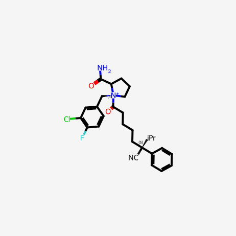 CC(C)[C@@](C#N)(CCCCC(=O)[N@@+]1(Cc2ccc(F)c(Cl)c2)CCCC1C(N)=O)c1ccccc1